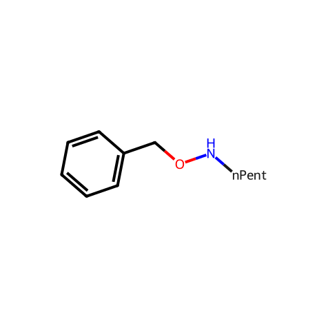 CCCCCNOCc1ccccc1